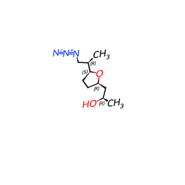 C[C@H](CN=[N+]=[N-])[C@@H]1CC[C@H](C[C@@H](C)O)O1